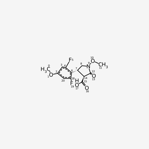 COc1cc(F)c([C@@H]2CN(OC)C(=O)[C@H]2C(=O)O)c(F)c1